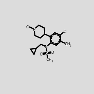 Cc1cc(N(CC2CC2)S(C)(=O)=O)c(C2CCN(Cl)CC2)cc1Cl